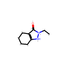 CCn1[nH]c2c(c1=O)CCCC2